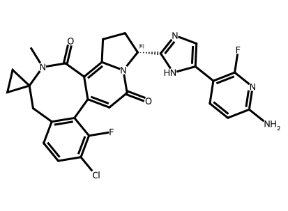 CN1C(=O)c2c(cc(=O)n3c2CC[C@@H]3c2ncc(-c3ccc(N)nc3F)[nH]2)-c2c(ccc(Cl)c2F)CC12CC2